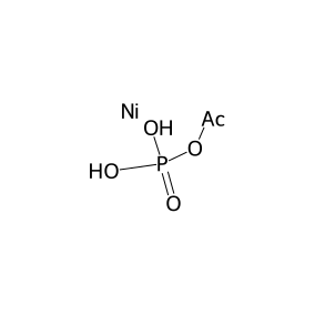 CC(=O)OP(=O)(O)O.[Ni]